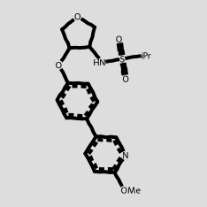 COc1ccc(-c2ccc(OC3COCC3NS(=O)(=O)C(C)C)cc2)cn1